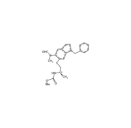 C[C@H](CSc1cc2c(ccn2Cc2ccccc2)cc1N(C)C=O)NC(=O)OC(C)(C)C